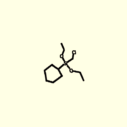 CCO[Si](CCl)(OCC)C1CCCCC1